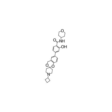 O=C(NC1CCOCC1)c1ccc(-c2ccc3c(c2)COC2(CCN(C4CCC4)CC2)O3)cc1O